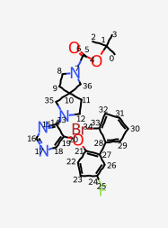 CC(C)(C)OC(=O)N1CCC2(CCN(c3ncncc3Oc3ccc(F)cc3-c3ccccc3Br)C2)C1